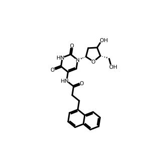 O=C(CCc1cccc2ccccc12)Nc1cn([C@@H]2CC(O)[C@H](CO)O2)c(=O)[nH]c1=O